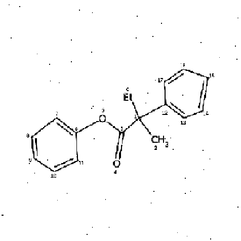 CCC(C)(C(=O)Oc1ccccc1)c1ccccc1